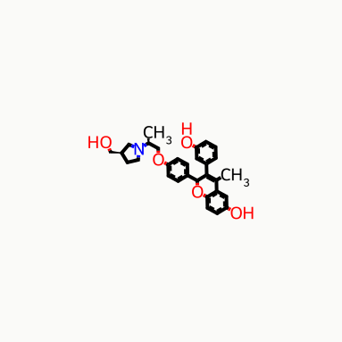 CC1=C(c2cccc(O)c2)C(c2ccc(OC[C@H](C)N3CC[C@@H](CO)C3)cc2)Oc2ccc(O)cc21